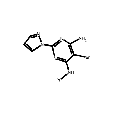 CC(C)Nc1nc(-n2cccn2)nc(N)c1Br